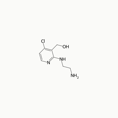 NCCNc1nccc(Cl)c1CO